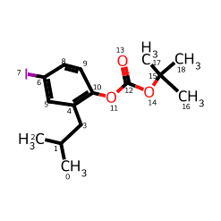 CC(C)Cc1cc(I)ccc1OC(=O)OC(C)(C)C